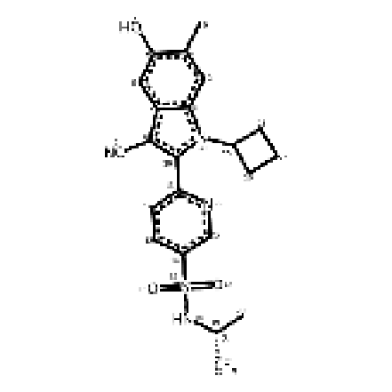 Cc1cc2c(cc1O)c(C#N)c(-c1ccc(S(=O)(=O)N[C@H](C)C(F)(F)F)cn1)n2C1CCC1